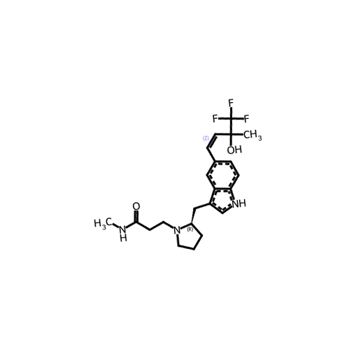 CNC(=O)CCN1CCC[C@@H]1Cc1c[nH]c2ccc(/C=C\C(C)(O)C(F)(F)F)cc12